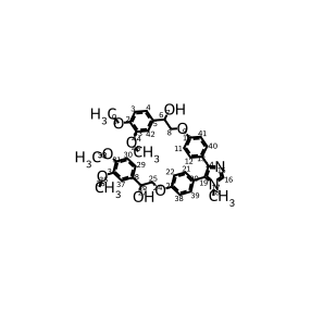 COc1ccc(C(O)COc2ccc(-c3ncn(C)c3-c3ccc(OCC(O)c4ccc(OC)c(OC)c4)cc3)cc2)cc1OC